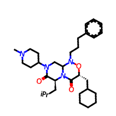 CC(C)C[C@H]1C(=O)N(C2CCN(C)CC2)CC2N(CCCc3ccccc3)O[C@H](CC3CCCCC3)C(=O)N21